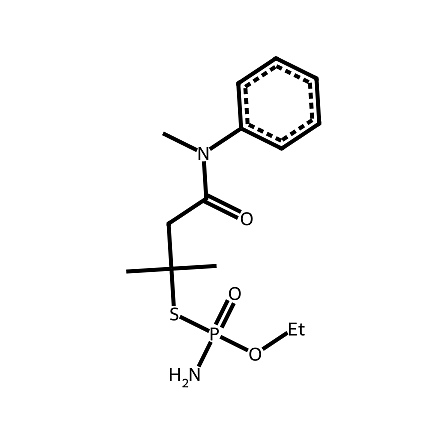 CCOP(N)(=O)SC(C)(C)CC(=O)N(C)c1ccccc1